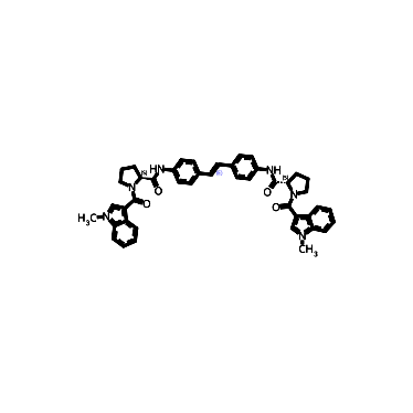 Cn1cc(C(=O)N2CCC[C@H]2C(=O)Nc2ccc(/C=C/c3ccc(NC(=O)[C@@H]4CCCN4C(=O)c4cn(C)c5ccccc45)cc3)cc2)c2ccccc21